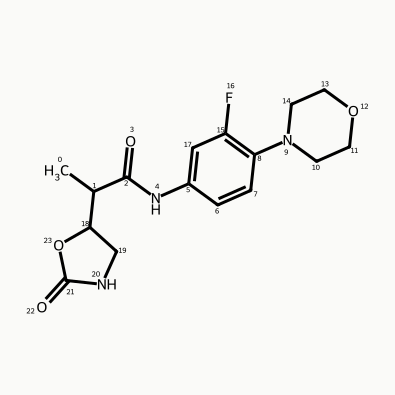 CC(C(=O)Nc1ccc(N2CCOCC2)c(F)c1)C1CNC(=O)O1